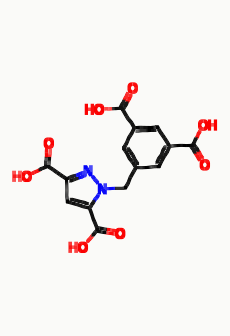 O=C(O)c1cc(Cn2nc(C(=O)O)cc2C(=O)O)cc(C(=O)O)c1